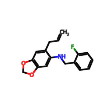 C=CCc1cc2c(cc1NCc1ccccc1F)OCO2